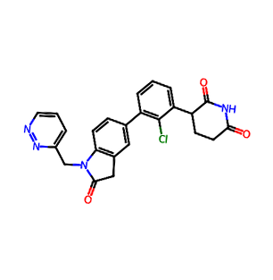 O=C1CCC(c2cccc(-c3ccc4c(c3)CC(=O)N4Cc3cccnn3)c2Cl)C(=O)N1